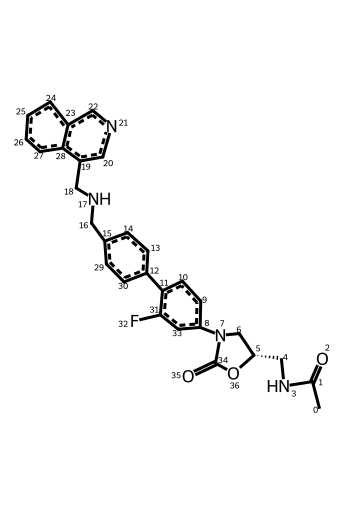 CC(=O)NC[C@H]1CN(c2ccc(-c3ccc(CNCc4cncc5ccccc45)cc3)c(F)c2)C(=O)O1